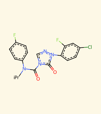 CC(C)N(C(=O)n1cnn(-c2ccc(Cl)cc2F)c1=O)c1ccc(F)cc1